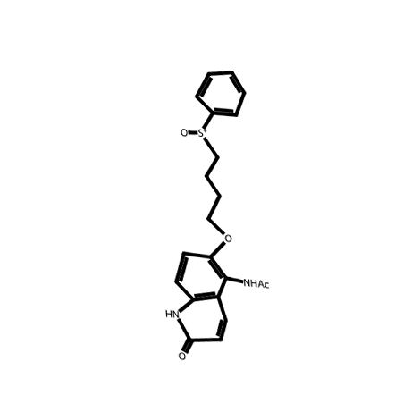 CC(=O)Nc1c(OCCCC[S+]([O-])c2ccccc2)ccc2[nH]c(=O)ccc12